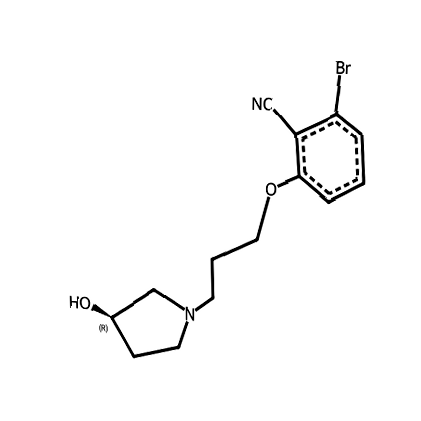 N#Cc1c(Br)cccc1OCCCN1CC[C@@H](O)C1